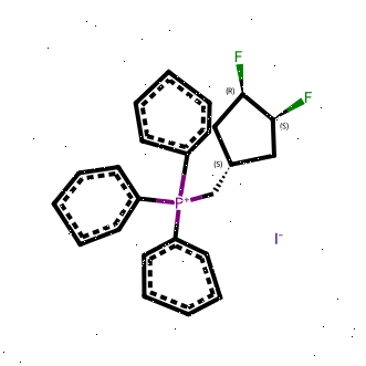 F[C@@H]1C[C@@H](C[P+](c2ccccc2)(c2ccccc2)c2ccccc2)C[C@@H]1F.[I-]